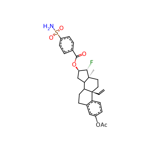 C=C[C@]12CC[C@@]3(C)C(C[C@@H](OC(=O)c4ccc(S(N)(=O)=O)cc4)[C@@H]3F)C1CCc1cc(OC(C)=O)ccc12